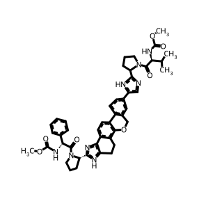 COC(=O)N[C@H](C(=O)N1CCCC1c1ncc(-c2ccc3c(c2)COc2c-3ccc3c2CCc2[nH]c([C@@H]4CCCN4C(=O)[C@H](NC(=O)OC)c4ccccc4)nc2-3)[nH]1)C(C)C